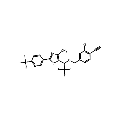 Cc1nc(-c2ccc(C(F)(F)F)nc2)sc1C(OCc1ccc(C#N)c(Cl)c1)C(F)(F)F